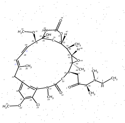 CBN(C)[C@@H](C)C(=O)C[C@H]1CC(=O)N(C)c2cc(cc(OC)c2Cl)C/C(C)=C/C=C/[C@@H](OC)[C@@]2(O)C[C@H](OC(=O)N2)[C@@H](C)[C@@H]2O[C@@]12C